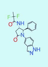 CC(F)(F)C(=O)N[C@H]1CC(=O)N(c2ccc3[nH]ncc3c2)[C@@H]1c1ccccc1